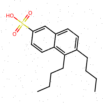 CCCCc1ccc2cc(S(=O)(=O)O)ccc2c1CCCC